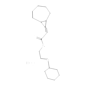 O=C(C=C1C2CCCCCC12)NC[C@H](NC1CCCCC1)C(=O)O